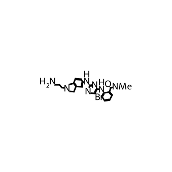 CNC(=O)c1ccccc1Nc1nc(Nc2ccc3c(c2)CCN(CCCN)C3)ncc1Br